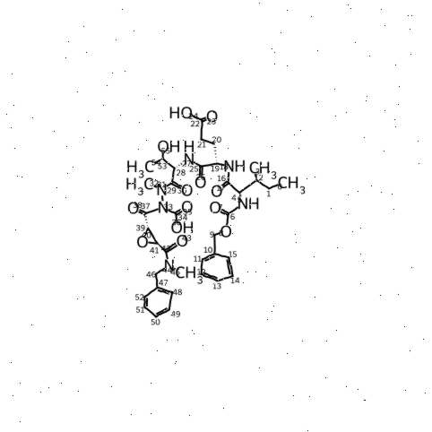 CC[C@H](C)[C@H](NC(=O)OCc1ccccc1)C(=O)N[C@@H](CCC(=O)O)C(=O)N[C@H](C(=O)N(C)N(C(=O)O)C(=O)[C@H]1O[C@@H]1C(=O)N(C)Cc1ccccc1)[C@@H](C)O